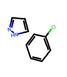 Clc1ccccc1.c1cn[nH]c1